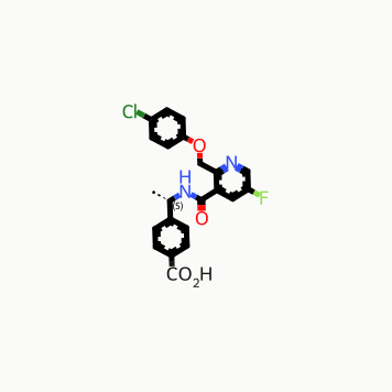 C[C@H](NC(=O)c1cc(F)cnc1COc1ccc(Cl)cc1)c1ccc(C(=O)O)cc1